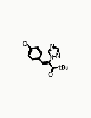 CC(C)(C)C(=O)/C(=C/c1ccc(Cl)cc1)n1cncn1